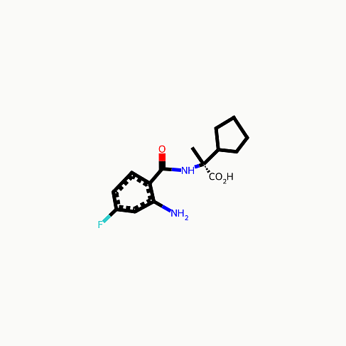 C[C@@](NC(=O)c1ccc(F)cc1N)(C(=O)O)C1CCCC1